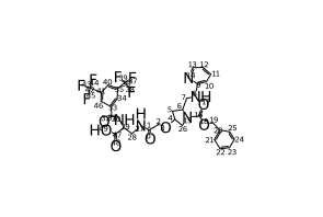 O=C(COC1CC(CNc2ccccn2)N(C(=O)OCc2ccccc2)C1)NCC(NC(=O)c1cc(C(F)(F)F)cc(C(F)(F)F)c1)C(=O)O